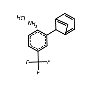 Cl.FC(F)(F)c1cccc(C2C3=CC=CC2=C3)c1.N